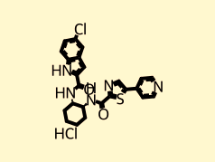 Cl.O=C(N[C@H]1CCCC[C@@H]1NC(=O)c1ncc(-c2ccncc2)s1)c1cc2cc(Cl)ccc2[nH]1